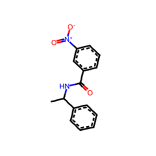 CC(NC(=O)c1cccc([N+](=O)[O-])c1)c1ccccc1